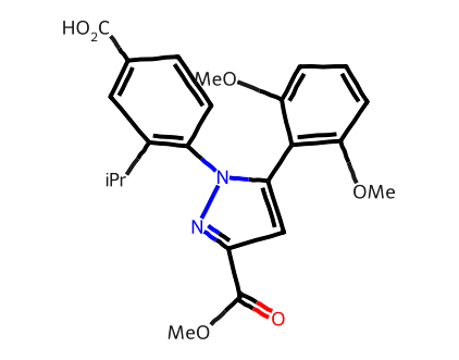 COC(=O)c1cc(-c2c(OC)cccc2OC)n(-c2ccc(C(=O)O)cc2C(C)C)n1